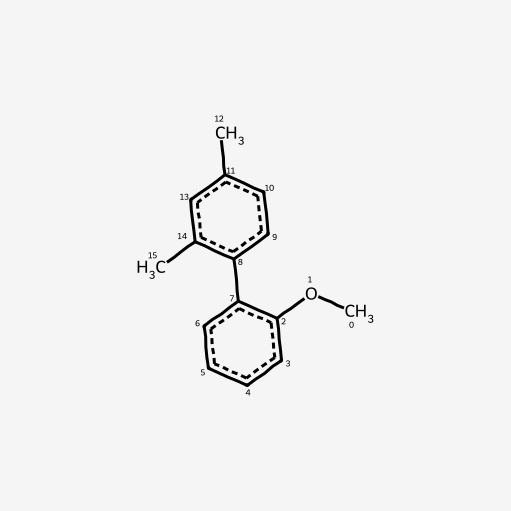 COc1ccccc1-c1ccc(C)cc1C